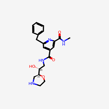 CNC(=O)c1cc(C(=O)NC[C@@H](O)[C@@H]2CNCCO2)cc(Cc2ccccc2)n1